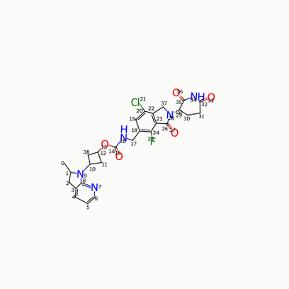 CC1Cc2cccnc2N1C1CC(OC(=O)NCc2cc(Cl)c3c(c2F)C(=O)N([C@H]2CCC(=O)NC2=O)C3)C1